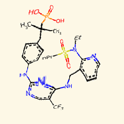 CCCS(=O)(=O)N(CC)c1ncccc1CNc1nc(Nc2ccc(C(C)(C)P(=O)(O)O)cc2)ncc1C(F)(F)F